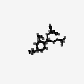 CN(C)CCN(C[SH](=O)=O)c1ccc(N)cc1N